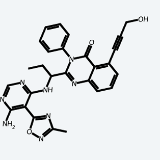 CCC(Nc1ncnc(N)c1-c1nc(C)no1)c1nc2cccc(C#CCO)c2c(=O)n1-c1ccccc1